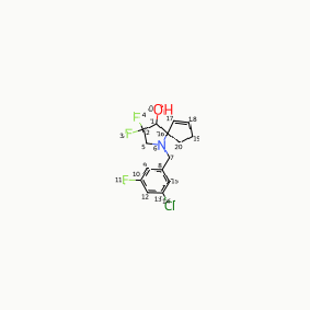 OC1C(F)(F)CN(Cc2cc(F)cc(Cl)c2)C12C=CCC2